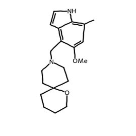 COc1cc(C)c2[nH]ccc2c1CN1CCC2(CCCCO2)CC1